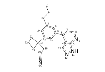 CCCc1cc(-c2ccnc3[nH]ncc23)cc(C2(CC#N)CCC2)c1